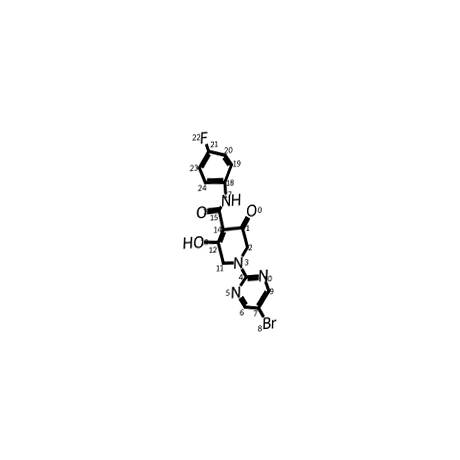 O=C1CN(c2ncc(Br)cn2)CC(O)=C1C(=O)Nc1ccc(F)cc1